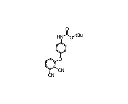 CC(C)(C)OC(=O)Nc1ccc(Oc2cccc(C#N)c2C#N)cc1